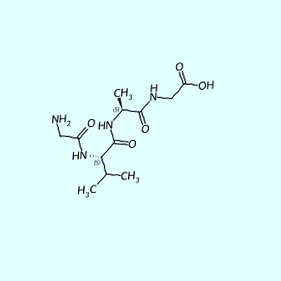 CC(C)[C@H](NC(=O)CN)C(=O)N[C@@H](C)C(=O)NCC(=O)O